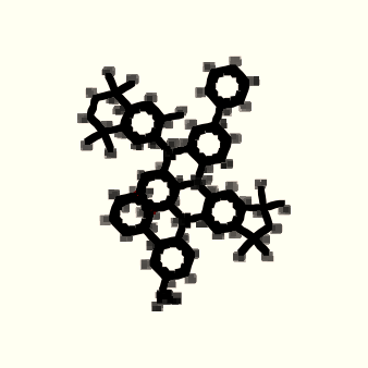 Cc1cc2c3c(c1)N(c1ccc(C(C)(C)C)cc1-c1ccccc1)c1cc4c(cc1B3c1ccc(-c3ccccc3)cc1N2c1cc2c(cc1C)C(C)(C)CCC2(C)C)C(C)(C)CC4(C)C